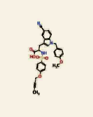 CC#CCOc1ccc(S(=O)(=O)NC(Cc2cn(Cc3ccc(OC)cc3)c3ccc(C#N)cc23)C(=O)O)cc1